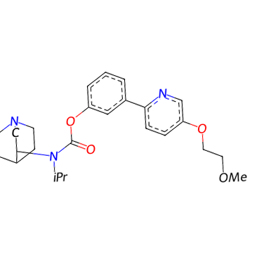 COCCOc1ccc(-c2cccc(OC(=O)N(C(C)C)C3CN4CCC3CC4)c2)nc1